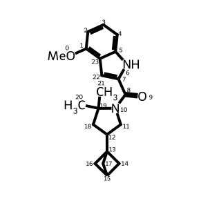 COc1cccc2[nH]c(C(=O)N3CC(C45CC(C4)C5)CC3(C)C)cc12